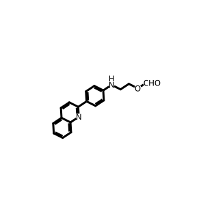 O=COCCNc1ccc(-c2ccc3ccccc3n2)cc1